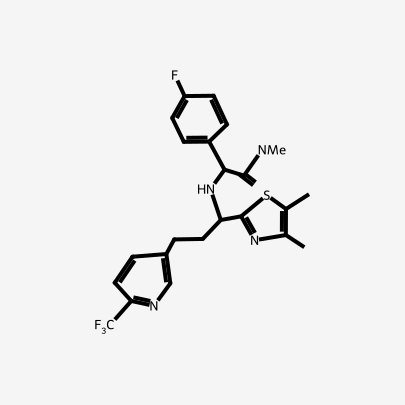 C=C(NC)C(NC(CCc1ccc(C(F)(F)F)nc1)c1nc(C)c(C)s1)c1ccc(F)cc1